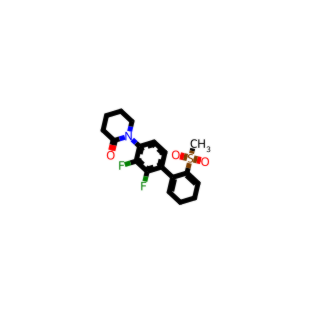 CS(=O)(=O)C1=CCCC=C1c1ccc(N2CCCCC2=O)c(F)c1F